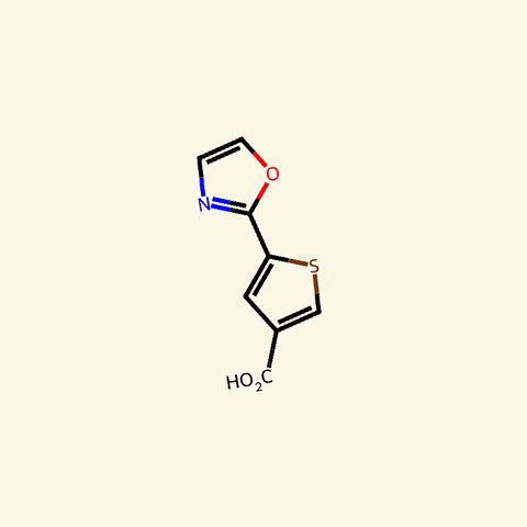 O=C(O)c1csc(-c2ncco2)c1